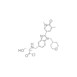 Cc1cc(-c2nc3cc(CN[C@@H](CO)C(=O)Cl)ccc3n2CC2CCOCC2)cn(C)c1=O